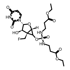 CCOC(=O)CCNP(=O)(NCCC(=O)OCC)OC1[C@H]2O[C@@H](n3ccc(=O)[nH]c3=O)[C@H](O)[C@@]12CF